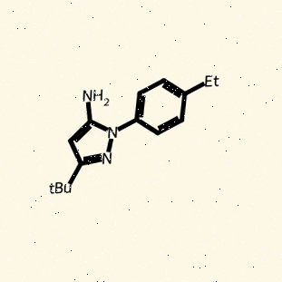 CCc1ccc(-n2nc(C(C)(C)C)cc2N)cc1